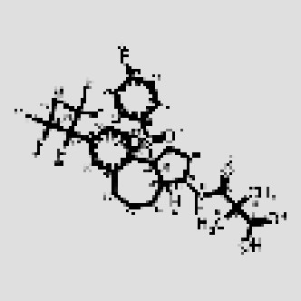 CC(C)(C(=O)O)C(=O)N[C@@H]1CC[C@@]2(S(=O)(=O)c3ccc(F)cc3)c3ccc(C(F)(C(F)(F)F)C(F)(F)F)cc3CCC[C@@H]12